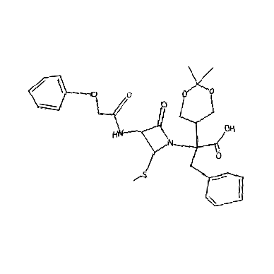 CSC1C(NC(=O)COc2ccccc2)C(=O)N1C(Cc1ccccc1)(C(=O)O)C1COC(C)(C)OC1